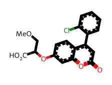 COCC(Oc1ccc2c(-c3ccccc3Cl)cc(=O)oc2c1)C(=O)O